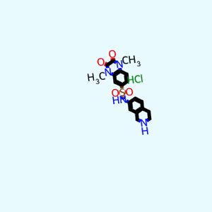 Cl.Cn1c(=O)c(=O)n(C)c2cc(S(=O)(=O)Nc3ccc4c(c3)CNCC4)ccc21